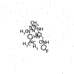 Cc1nc(Nc2cc(CC(=O)Nc3cccc(F)c3)[nH]n2)nc(N(C)c2ccc(N(C)C)cc2)n1